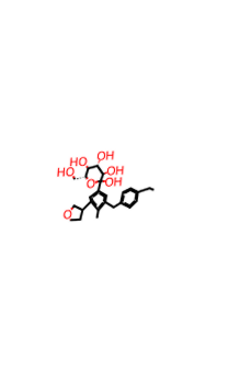 CCc1ccc(Cc2cc(C3(O)O[C@H](CO)[C@@H](O)[C@H](O)[C@H]3O)cc(C3CCOC3)c2C)cc1